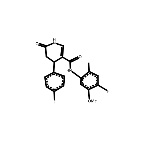 COc1cc(NC(=O)C2=CNC(=O)CC2c2ccc(F)cc2)c(C)cc1F